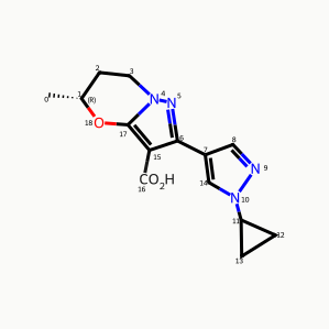 C[C@@H]1CCn2nc(-c3cnn(C4CC4)c3)c(C(=O)O)c2O1